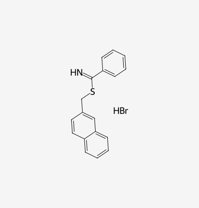 Br.N=C(SCc1ccc2ccccc2c1)c1ccccc1